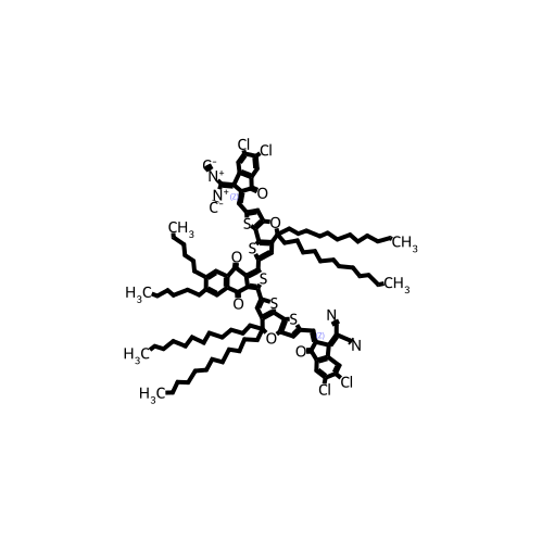 [C-]#[N+]C([N+]#[C-])=C1/C(=C/c2cc3c(s2)-c2sc(-c4sc(-c5cc6c(s5)-c5sc(/C=C7\C(=O)c8cc(Cl)c(Cl)cc8C7=C(C#N)C#N)cc5OC6(CCCCCCCCCCCC)CCCCCCCCCCCC)c5c4C(=O)c4cc(CCCCCC)c(CCCCCC)cc4C5=O)cc2C(CCCCCCCCCCCC)(CCCCCCCCCCCC)O3)C(=O)c2cc(Cl)c(Cl)cc21